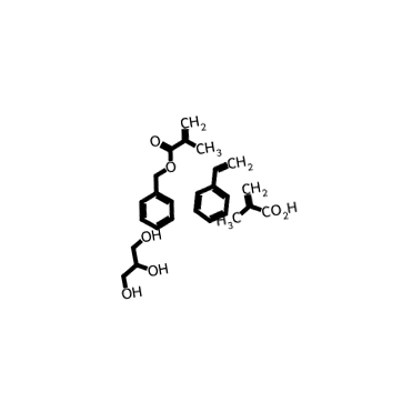 C=C(C)C(=O)O.C=C(C)C(=O)OCc1ccccc1.C=Cc1ccccc1.OCC(O)CO